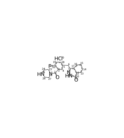 Cl.O=C(c1cc(Cc2n[nH]c(=O)c3ccccc23)ccc1F)N1CCNCC1